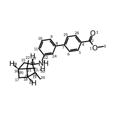 COC(=O)c1ccc(-c2cccc(N[C@H]3C[C@H]4C[C@@H]([C@@H]3C)C4(C)C)c2)cc1